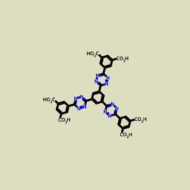 O=C(O)c1cc(C(=O)O)cc(-c2nnc(-c3cc(-c4nnc(-c5cc(C(=O)O)cc(C(=O)O)c5)nn4)cc(-c4nnc(-c5cc(C(=O)O)cc(C(=O)O)c5)nn4)c3)nn2)c1